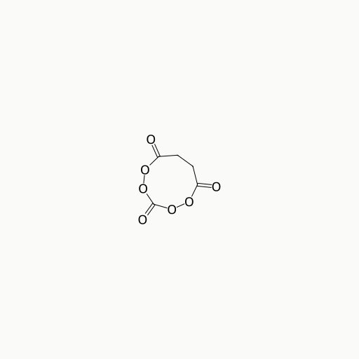 O=C1CCC(=O)OOC(=O)OO1